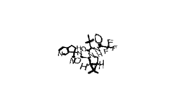 CC(C)(C)C(NC(=O)C(F)(F)F)C(=O)N1C[C@H]2[C@@H]([C@H]1C(=O)NC1(C#N)CCc3ccncc31)C2(C)C